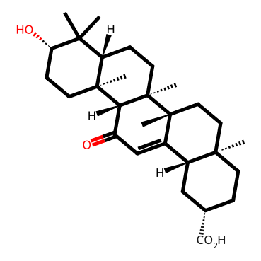 CC1(C)[C@@H](O)CC[C@]2(C)[C@H]3C(=O)C=C4[C@H]5C[C@@H](C(=O)O)CC[C@]5(C)CC[C@@]4(C)[C@]3(C)CC[C@@H]12